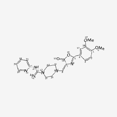 COc1ccc(C2=N/C(=C/N3CCN(C(=N)Nc4ccccn4)CC3)C(=O)O2)cc1OC